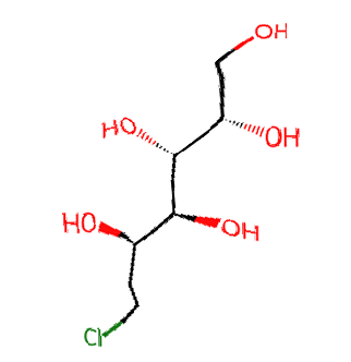 OC[C@H](O)[C@@H](O)[C@@H](O)[C@H](O)CCl